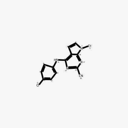 CCn1ccc2c(Nc3ccc(Cl)cc3)nc(C#N)nc21